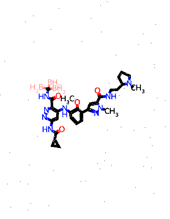 BC(B)(B)NC(=O)c1nnc(NC(=O)C2CC2)cc1Nc1cccc(-c2cc(C(=O)NCCC3CCCN3C)n(C)n2)c1OC